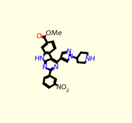 COC(=O)c1ccc2c(c1)[nH]c1nc(-c3cccc([N+](=O)[O-])c3)nc(-c3cnn(C4CCNCC4)c3)c12